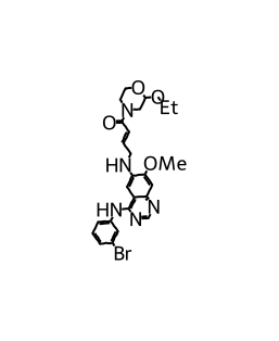 CCOC1CN(C(=O)C=CCNc2cc3c(Nc4cccc(Br)c4)ncnc3cc2OC)CCO1